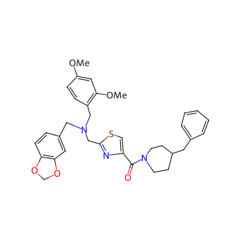 COc1ccc(CN(Cc2ccc3c(c2)OCO3)Cc2nc(C(=O)N3CCC(Cc4ccccc4)CC3)cs2)c(OC)c1